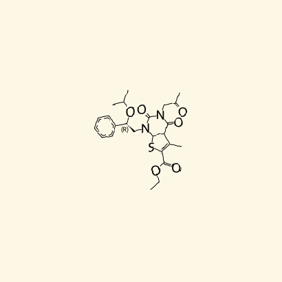 CCOC(=O)C1=C(C)C2C(=O)N(CC(C)=O)C(=O)N(C[C@H](OC(C)C)c3ccccc3)C2S1